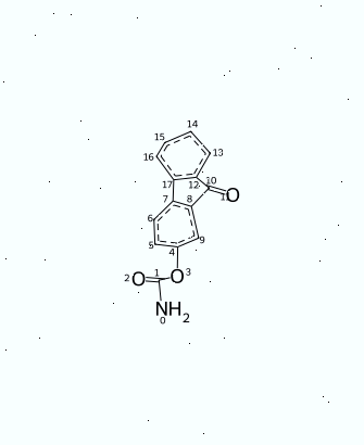 NC(=O)Oc1ccc2c(c1)C(=O)c1ccccc1-2